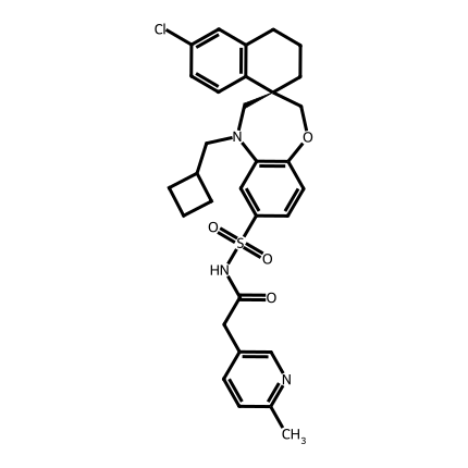 Cc1ccc(CC(=O)NS(=O)(=O)c2ccc3c(c2)N(CC2CCC2)C[C@@]2(CCCc4cc(Cl)ccc42)CO3)cn1